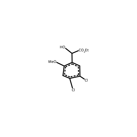 CCOC(=O)C(O)c1cc(Cl)c(Cl)cc1OC